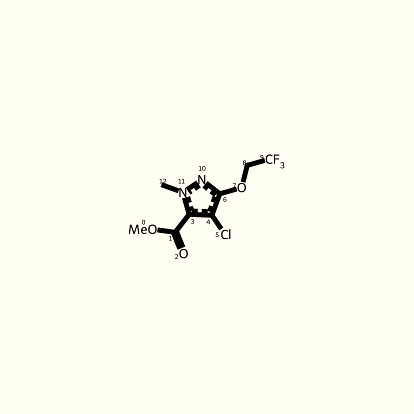 COC(=O)c1c(Cl)c(OCC(F)(F)F)nn1C